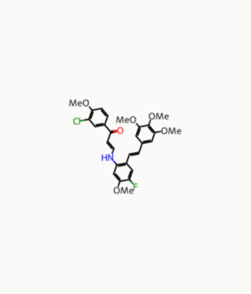 COc1cc(NC=CC(=O)c2ccc(OC)c(Cl)c2)c(C=Cc2cc(OC)c(OC)c(OC)c2)cc1F